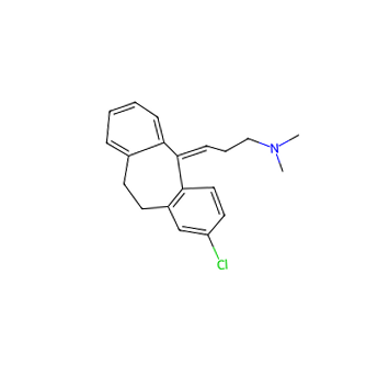 CN(C)CC/C=C1/c2ccccc2CCc2cc(Cl)ccc21